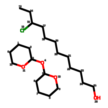 C1CCC(OC2CCCCO2)OC1.CCC(Cl)CCCCCCCCCO